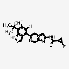 CC(C)(C#N)c1c(F)c(Cl)c(-c2cn3cc(NC(=O)C4CC4F)nc3cn2)c2cn[nH]c12